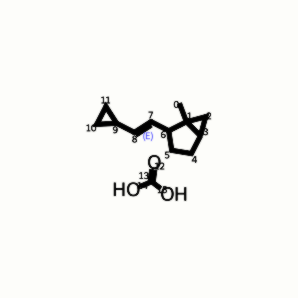 CC12CC1CCC2/C=C/C1CC1.O=C(O)O